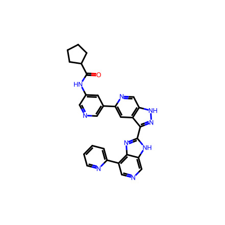 O=C(Nc1cncc(-c2cc3c(-c4nc5c(-c6ccccn6)cncc5[nH]4)n[nH]c3cn2)c1)C1CCCC1